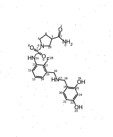 NC(=O)C1CCN(S(=O)(=O)Nc2cccc(CNCc3ccc(O)cc3O)c2F)C1